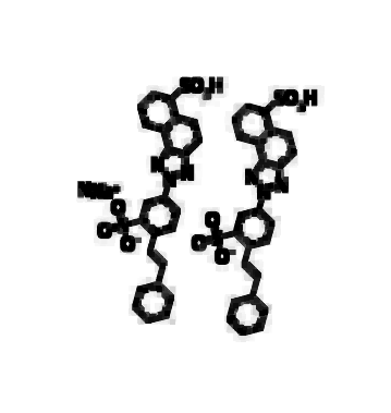 O=S(=O)([O-])c1cc(-n2nc3ccc4c(S(=O)(=O)O)cccc4c3n2)ccc1C=Cc1ccccc1.O=S(=O)([O-])c1cc(-n2nc3ccc4c(S(=O)(=O)O)cccc4c3n2)ccc1C=Cc1ccccc1.[Na+].[Na+]